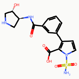 NS(=O)(=O)n1ccc(-c2cccc(C(=O)N[C@H]3CNC[C@@H]3O)c2)c1C(=O)O